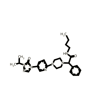 CCCCNC(=O)C(c1ccccc1)N1CCN(c2ccc(-n3cnn(C(C)C)c3=O)cn2)CC1